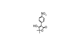 CC1(C)OC(=O)C(c2ccc([N+](=O)[O-])cc2)=C1O